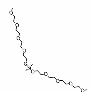 COCCOCCOCCOCCO[Si](C)(C)OCCOCCOCCOCCOC